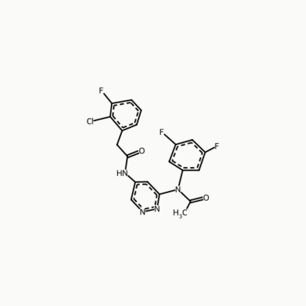 CC(=O)N(c1cc(F)cc(F)c1)c1cc(NC(=O)Cc2cccc(F)c2Cl)cnn1